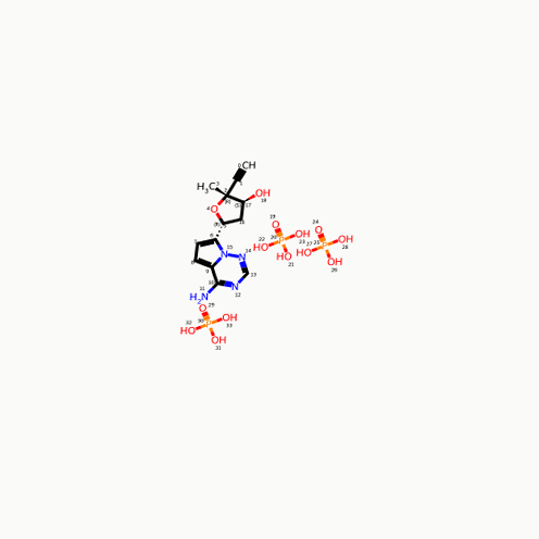 C#C[C@@]1(C)O[C@@H](c2ccc3c(N)ncnn23)C[C@@H]1O.O=P(O)(O)O.O=P(O)(O)O.O=P(O)(O)O